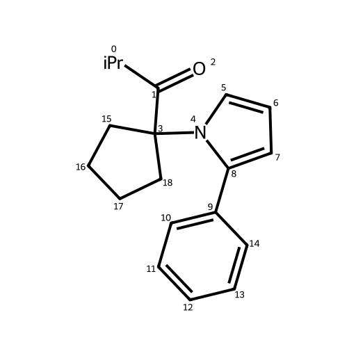 CC(C)C(=O)C1(n2cccc2-c2ccccc2)CCCC1